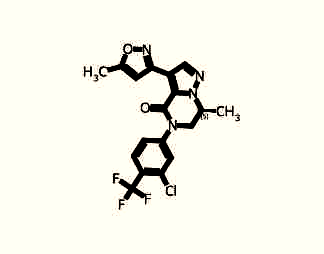 Cc1cc(-c2cnn3c2C(=O)N(c2ccc(C(F)(F)F)c(Cl)c2)C[C@@H]3C)no1